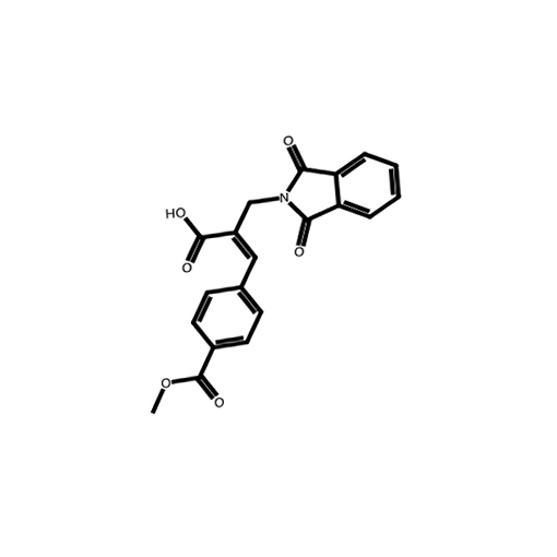 COC(=O)c1ccc(C=C(CN2C(=O)c3ccccc3C2=O)C(=O)O)cc1